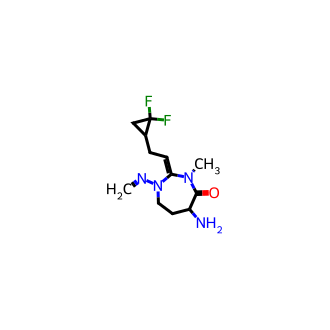 C=NN1CCC(N)C(=O)N(C)/C1=C/CC1CC1(F)F